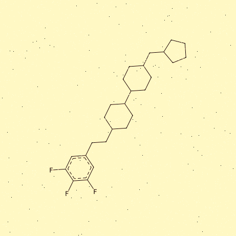 Fc1cc(CCC2CCC(C3CCC(CC4CCCC4)CC3)CC2)cc(F)c1F